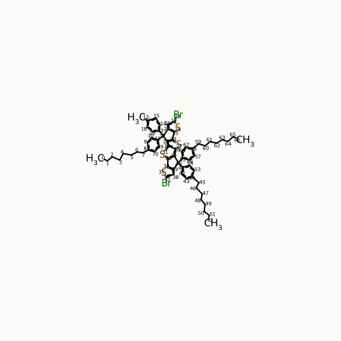 CCCCCCCCc1ccc(C2(c3ccc(C)cc3)c3cc(Br)sc3-c3sc4c5c(sc4c32)-c2sc(Br)cc2C5(c2ccc(CCCCCCCC)cc2)c2ccc(CCCCCCCC)cc2)cc1